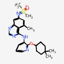 Cc1cc(N=S(C)(C)=O)cc2ncnc(Nc3cccnc3OC3CCC(C)(C)CC3)c12